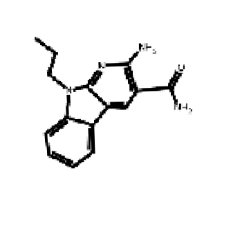 CCCn1c2ccccc2c2cc(C(N)=O)c(N)nc21